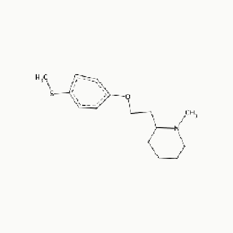 CSc1ccc(OCCC2CCCCN2C)cc1